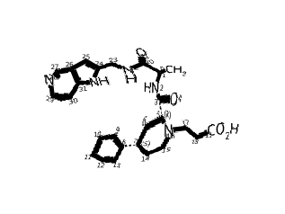 CC(NC(=O)[C@H]1C[C@@H](c2ccccc2)CCN1CCC(=O)O)C(=O)NCc1cc2cnccc2[nH]1